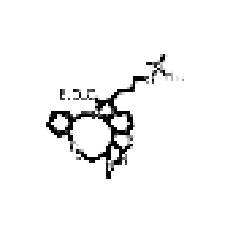 CCOC(=O)c1c(CCCO[Si](C)(C)C(C)(C)C)c2ccc(F)c3c2n1Cc1ccccc1COCc1c-3c(C)nn1C